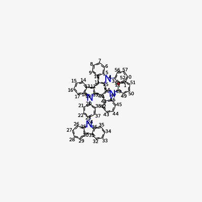 c1ccc(-n2c3ccccc3c3c4c5ccccc5n(-c5ccc(-n6c7ccccc7c7ccccc76)cc5)c4c4c5ccccc5n(-c5ccccc5)c4c32)cc1